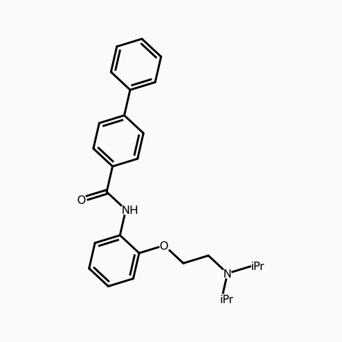 CC(C)N(CCOc1ccccc1NC(=O)c1ccc(-c2ccccc2)cc1)C(C)C